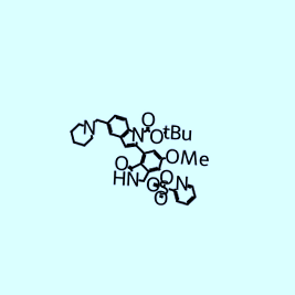 COc1cc(-c2cc3cc(CN4CCCCC4)ccc3n2C(=O)OC(C)(C)C)c2c(c1OS(=O)(=O)c1ccccn1)CNC2=O